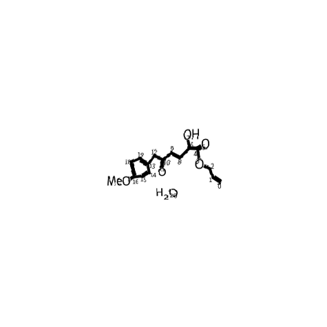 C=CCOC(=O)C(O)CCC(=O)Cc1ccc(OC)cc1.O